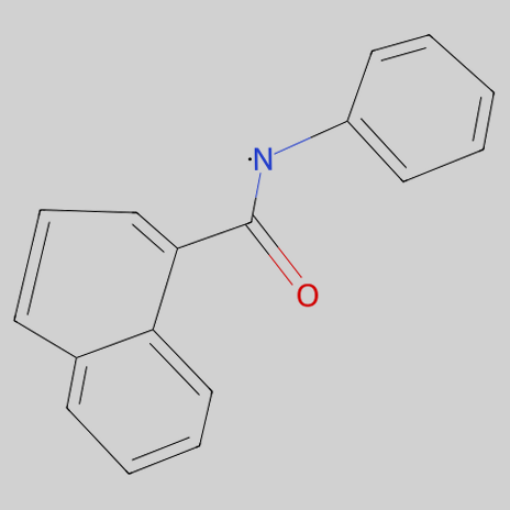 O=C([N]c1ccccc1)c1cccc2ccccc12